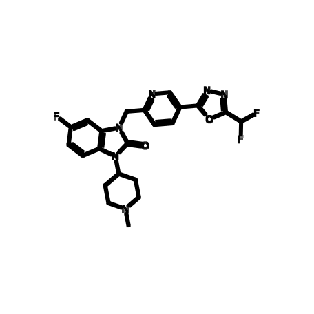 CN1CCC(n2c(=O)n(Cc3ccc(-c4nnc(C(F)F)o4)cn3)c3cc(F)ccc32)CC1